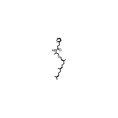 CC(C)=CCC/C(C)=C/CC/C(C)=C/CSCC(C)NC(=O)CCc1cccs1